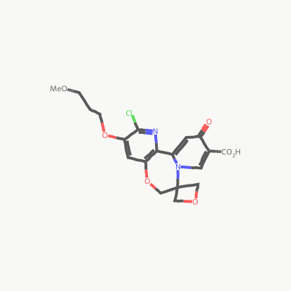 COCCCOc1cc2c(nc1Cl)-c1cc(=O)c(C(=O)O)cn1C1(COC1)CO2